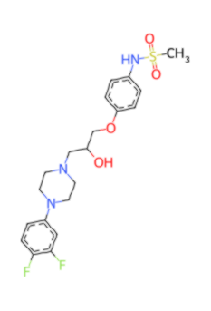 CS(=O)(=O)Nc1ccc(OCC(O)CN2CCN(c3ccc(F)c(F)c3)CC2)cc1